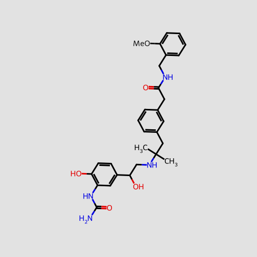 COc1ccccc1CNC(=O)Cc1cccc(CC(C)(C)NCC(O)c2ccc(O)c(NC(N)=O)c2)c1